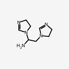 NC(CN1C=NCC1)N1C=NCC1